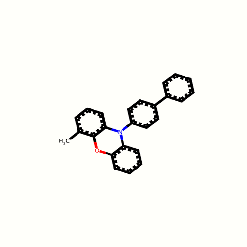 Cc1cccc2c1Oc1ccccc1N2c1ccc(-c2ccccc2)cc1